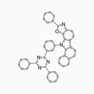 c1ccc(-c2nc(-c3ccccc3)nc(-c3cccc(-n4c5c6ccccc6ccc5c5ccc6nc(-c7ccccc7)oc6c54)c3)n2)cc1